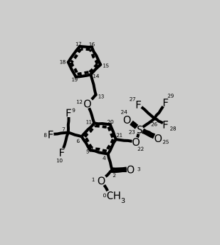 COC(=O)c1cc(C(F)(F)F)c(OCc2ccccc2)cc1OS(=O)(=O)C(F)(F)F